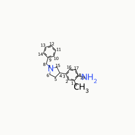 Cc1cc(C2CCN(Cc3ccccc3)C2)ccc1N